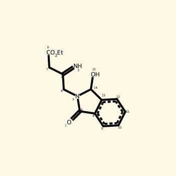 CCOC(=O)CC(=N)CN1C(=O)c2ccccc2C1O